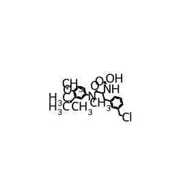 COc1ccc(N(C)C(=O)C(Cc2cccc(CCl)c2)NC(=O)O)cc1C(C)(C)C